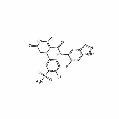 CC1=C(C(=O)Nc2cc3cn[nH]c3cc2F)C(c2ccc(Cl)c(S(N)(=O)=O)c2)CC(=O)N1